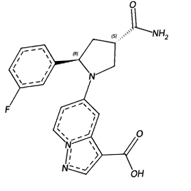 NC(=O)[C@H]1C[C@H](c2cccc(F)c2)N(c2ccn3ncc(C(=O)O)c3c2)C1